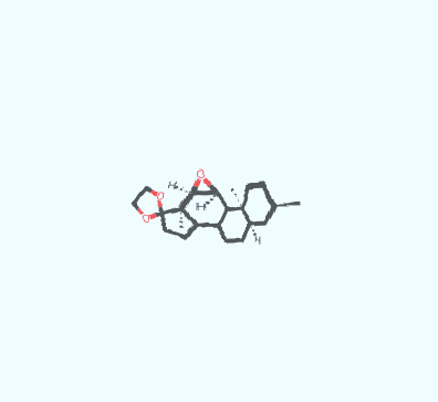 C[C@@H]1CC[C@]2(C)C3C(CC[C@@H]2C1)C1CCC2(OCCO2)[C@@]1(C)[C@H]1O[C@@H]31